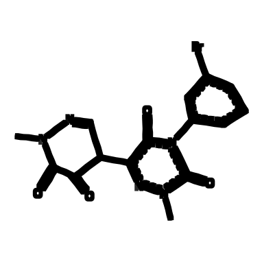 CN1N=CC(c2nn(C)c(=O)n(-c3cccc(Br)c3)c2=O)C(=O)C1=O